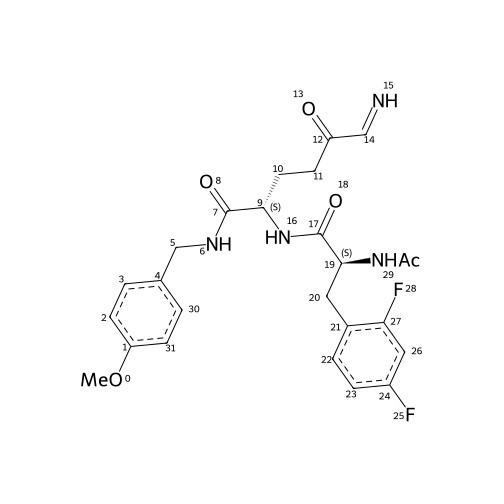 COc1ccc(CNC(=O)[C@H](CCC(=O)C=N)NC(=O)[C@H](Cc2ccc(F)cc2F)NC(C)=O)cc1